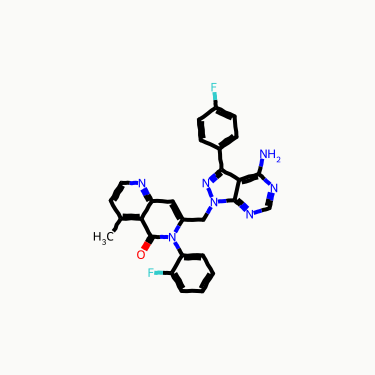 Cc1ccnc2cc(Cn3nc(-c4ccc(F)cc4)c4c(N)ncnc43)n(-c3ccccc3F)c(=O)c12